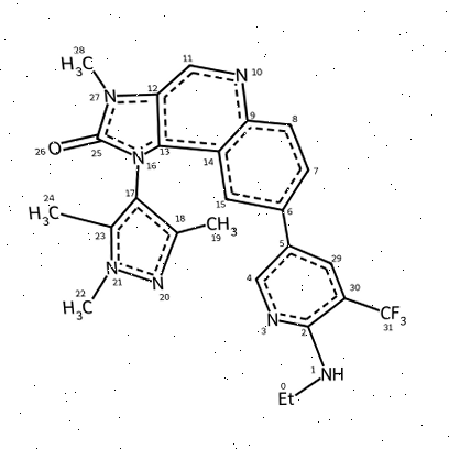 CCNc1ncc(-c2ccc3ncc4c(c3c2)n(-c2c(C)nn(C)c2C)c(=O)n4C)cc1C(F)(F)F